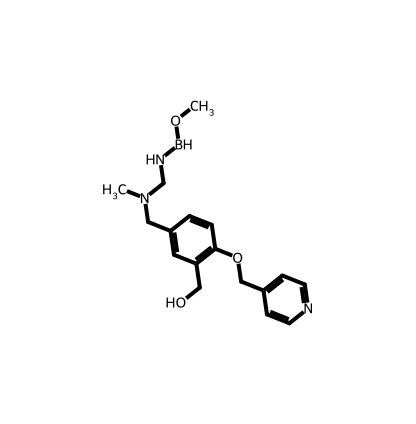 COBNCN(C)Cc1ccc(OCc2ccncc2)c(CO)c1